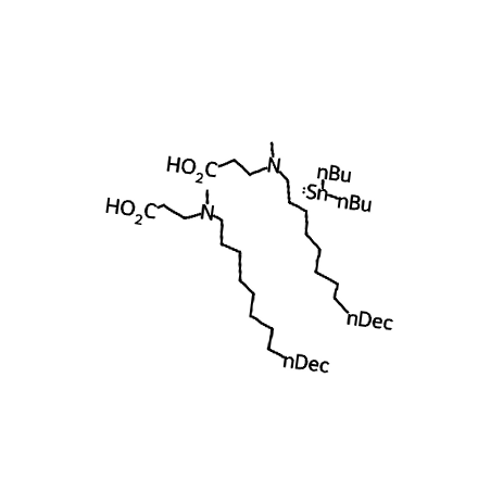 CCCCCCCCCCCCCCCCCCN(C)CCC(=O)O.CCCCCCCCCCCCCCCCCCN(C)CCC(=O)O.CCC[CH2][Sn][CH2]CCC